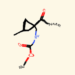 CNC(=O)C1(NC(=O)OC(C)(C)C)CC1C